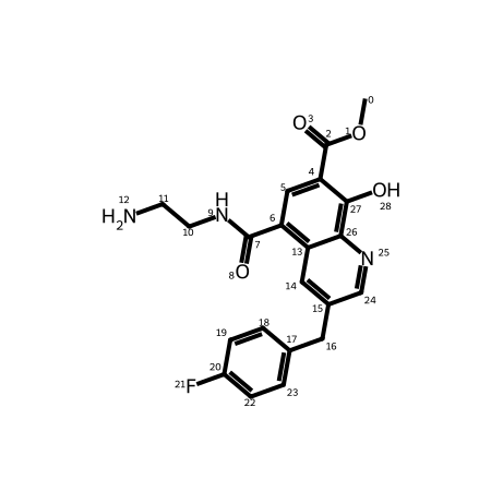 COC(=O)c1cc(C(=O)NCCN)c2cc(Cc3ccc(F)cc3)cnc2c1O